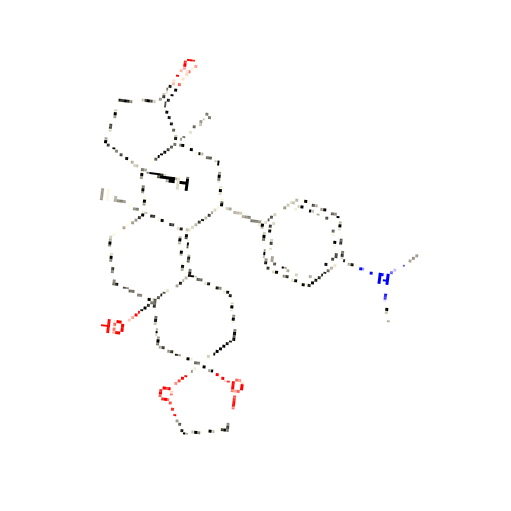 CN(C)c1ccc([C@H]2C[C@]3(C)C(=O)CC[C@H]3[C@@H]3CCC4(O)CC5(CCC4=C32)OCCO5)cc1